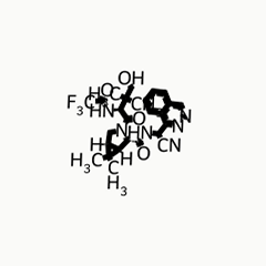 CC(C)(CO)[C@H](NC(=O)C(F)(F)F)C(=O)N1C[C@H]2[C@@H]([C@H]1C(=O)NC(C#N)c1nncc3ccccc13)C2(C)C